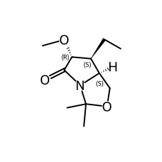 CC[C@H]1[C@H]2COC(C)(C)N2C(=O)[C@@H]1OC